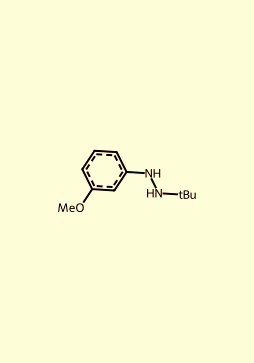 COc1cccc(NNC(C)(C)C)c1